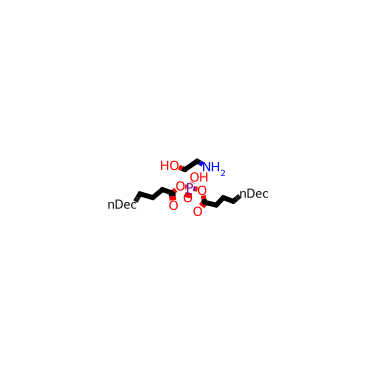 CCCCCCCCCCCCCC(=O)OP(=O)(O)OC(=O)CCCCCCCCCCCCC.NCCO